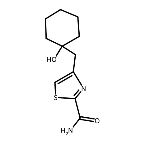 NC(=O)c1nc(CC2(O)CCCCC2)cs1